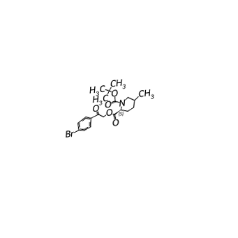 CC1CC[C@@H](C(=O)OCC(=O)c2ccc(Br)cc2)N(C(=O)OC(C)(C)C)C1